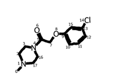 CN1CCN(C(=O)COc2cccc(Cl)c2)CC1